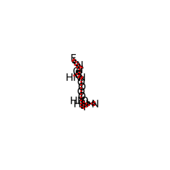 C[C@@H]1CN(CC(=O)N2CC(C)(C)c3ncc(Cc4ccc(F)cc4)cc32)[C@@H](CN(C)CCOCCOCCOCCOCCN[C@H](Cc2cccc(F)c2)C(=O)Nc2ccc(-c3ccncc3)cc2)CN1